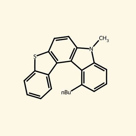 CCCCc1cccc2c1c1c3c(ccc1n2C)sc1ccccc13